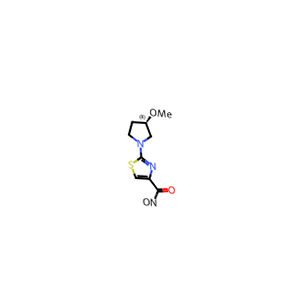 CO[C@@H]1CCN(c2nc(C(=O)N=O)cs2)C1